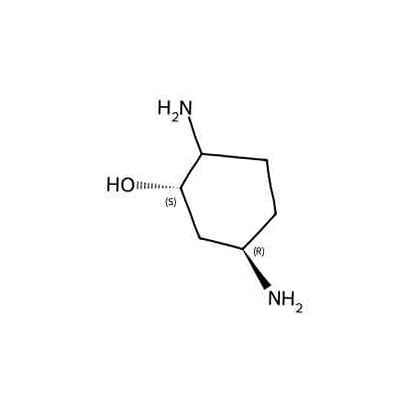 NC1CC[C@@H](N)C[C@@H]1O